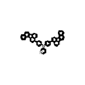 c1cncc(N(c2ccc(-c3ccc4c5c(cccc35)-c3ccc5ccccc5c3-4)cc2)c2ccc(-c3ccc4c5c(cccc35)-c3ccc5ccccc5c3-4)cc2)c1